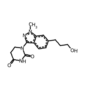 Cn1nc(N2CCC(=O)NC2=O)c2ccc(CCCO)cc21